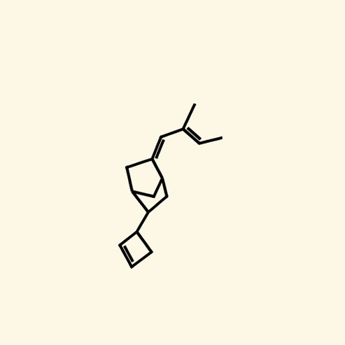 CC=C(C)C=C1CC2CC1CC2C1C=CC1